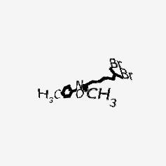 Cc1ccc(-c2nc(CCCCC(CBr)CBr)c(C)o2)cc1